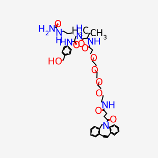 CC(C)[C@H](NC(=O)CCOCCOCCOCCOCCNC(=O)CCC(=O)N1Cc2ccccc2C#Cc2ccccc21)C(=O)N[C@@H](CCCNC(N)=O)C(=O)Nc1ccc(CO)cc1